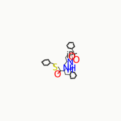 CC(C)CC(CNC(Cc1ccccc1)C(=O)CSCc1ccccc1)NC(=O)OCc1ccccc1